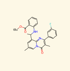 Cc1cc(C(C)Nc2ccccc2C(=O)OC(C)(C)C)c2nc(-c3cccc(F)c3)c(C)c(=O)n2c1